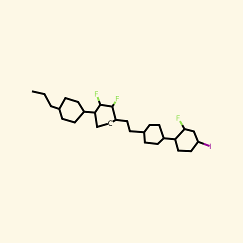 CCCC1CCC(C2CCC(CCC3CCC(C4CCC(I)CC4F)CC3)C(F)C2F)CC1